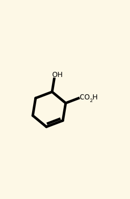 O=C(O)C1C=CCCC1O